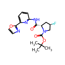 CC(C)(C)OC(=O)N1C[C@H](F)C[C@H]1C(=O)Nc1cccc(-c2ncco2)n1